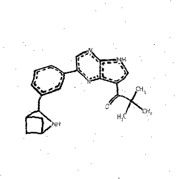 CC(C)(C)C(=O)c1c[nH]c2ncc(-c3cccc(C4NC5CC4C5)c3)nc12